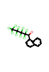 [O]C(c1cccc2ccccc12)C(Cl)(Cl)C(Cl)(Cl)C(Cl)(Cl)C(Cl)(Cl)Cl